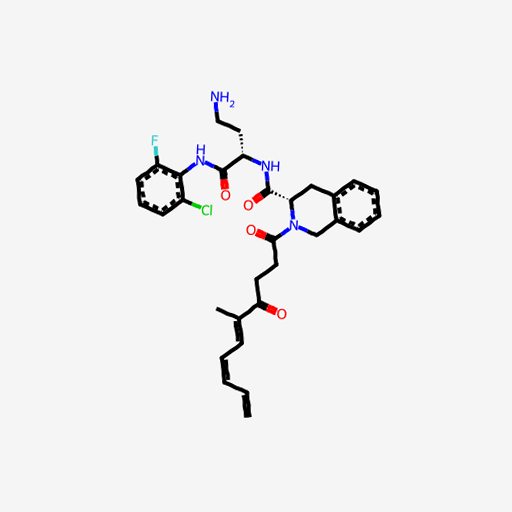 C=C/C=C\C=C(/C)C(=O)CCC(=O)N1Cc2ccccc2C[C@H]1C(=O)N[C@@H](CCN)C(=O)Nc1c(F)cccc1Cl